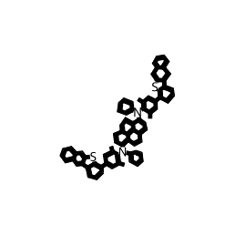 Cc1cc(-c2cccc3c2sc2cc4ccccc4cc23)cc(C)c1N(c1ccccc1)c1ccc2ccc3c(N(c4ccccc4)c4c(C)cc(-c5cccc6c5sc5cc7ccccc7cc56)cc4C)ccc4ccc1c2c43